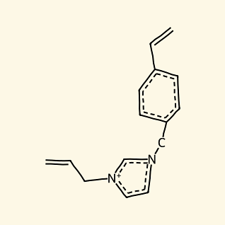 C=CC[n+]1ccn(Cc2ccc(C=C)cc2)c1